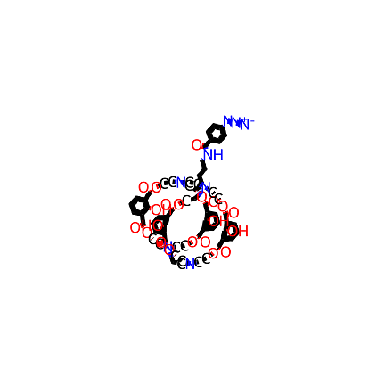 [N-]=[N+]=Nc1ccc(C(=O)NCCCCC2CN3CCOC(=O)c4cccc(c4O)C(=O)OCCN(CCOC(=O)c4cccc(c4O)C(=O)O2)CCN2CCOC(=O)c4cccc(c4O)C(=O)OCCN(CCOC(=O)c4cccc(c4O)C(=O)OCC2)CC3)cc1